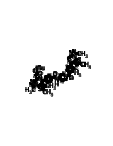 Cc1sc2c(c1C)C(c1ccc(C(=O)N3CCC(NC(=O)c4ccc(C5=N[C@@H](CC(=O)OC(C)(C)C)c6nnc(C)n6-c6sc(C)c(C)c65)cc4)CC3)cc1)=NCc1nnc(C)n1-2